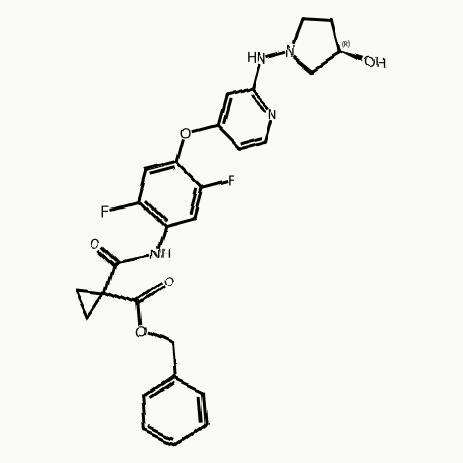 O=C(Nc1cc(F)c(Oc2ccnc(NN3CC[C@@H](O)C3)c2)cc1F)C1(C(=O)OCc2ccccc2)CC1